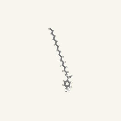 CCCCCCCCCCCCCCCCCCSN(C)c1ccc(O)cc1